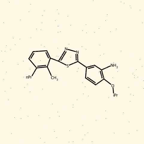 CCCc1cccc(-c2nnc(-c3ccc(OC(C)C)c(N)c3)s2)c1C